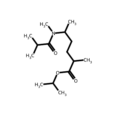 CC(C)OC(=O)C(C)CCC(C)N(C)C(=O)C(C)C